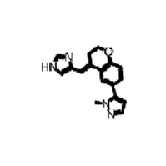 Cn1nccc1-c1ccc2c(c1)/C(=C/c1c[nH]cn1)CCO2